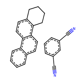 N#Cc1cccc(C#N)c1.c1ccc2c(c1)ccc1c3c(ccc12)CCCC3